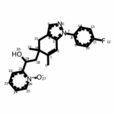 CC1=Cc2c(cnn2-c2ccc(F)cc2)CC1(C)CC(O)c1cccc[n+]1[O-]